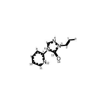 C/C=C/n1ncn(-c2ccccn2)c1=O